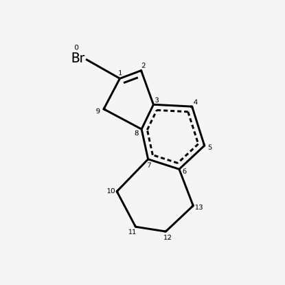 BrC1=Cc2ccc3c(c2C1)CCCC3